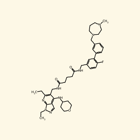 CCc1nc2c(cnn2CC)c(NC2CCOCC2)c1CNC(=O)CCCC(=O)NCc1ccc(F)c(-c2cccc(CN3CCCN(C)CC3)c2)c1